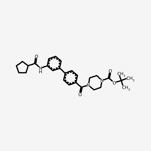 CC(C)(C)OC(=O)N1CCN(C(=O)c2ccc(-c3cccc(NC(=O)C4CCCC4)c3)cc2)CC1